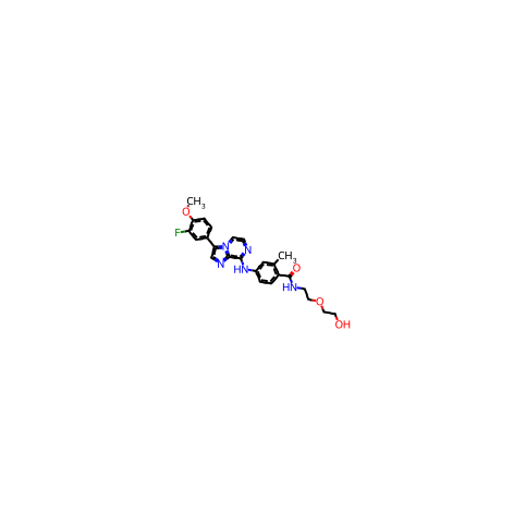 COc1ccc(-c2cnc3c(Nc4ccc(C(=O)NCCOCCO)c(C)c4)nccn23)cc1F